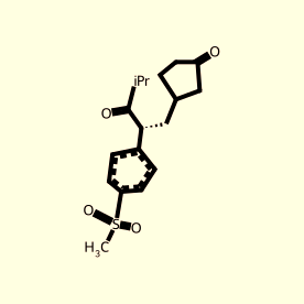 CC(C)C(=O)[C@H](CC1CCC(=O)C1)c1ccc(S(C)(=O)=O)cc1